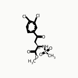 COC(=O)[C@@H](CC(=O)c1ccc(Cl)c(Cl)c1)NS(C)(=O)=O